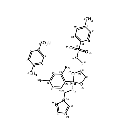 Cc1ccc(S(=O)(=O)O)cc1.Cc1ccc(S(=O)(=O)OC[C@@H]2CO[C@@](CCn3cncn3)(c3ccc(F)cc3F)O2)cc1